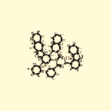 c1ccc(C2=NC(c3cccc4oc5ccccc5c34)NC(c3cc4ccccc4cc3-c3ccc(-c4ccccc4)c4oc5cc6ncccc6cc5c34)=N2)cc1